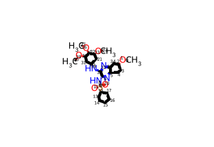 COc1ccc2nc(NS(=O)(=O)c3ccccc3)c(Nc3cc(OC)c(OC)c(OC)c3)nc2c1